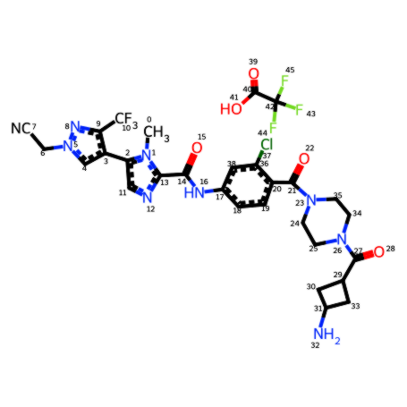 Cn1c(-c2cn(CC#N)nc2C(F)(F)F)cnc1C(=O)Nc1ccc(C(=O)N2CCN(C(=O)C3CC(N)C3)CC2)c(Cl)c1.O=C(O)C(F)(F)F